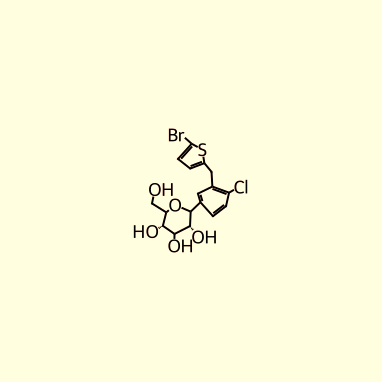 OCC1OC(c2ccc(Cl)c(Cc3ccc(Br)s3)c2)[C@H](O)C(O)[C@@H]1O